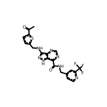 CC(=O)c1ccc(CNc2n[nH]c3c(C(=O)NCc4ccnc(C(F)(F)F)c4)ncnc23)s1